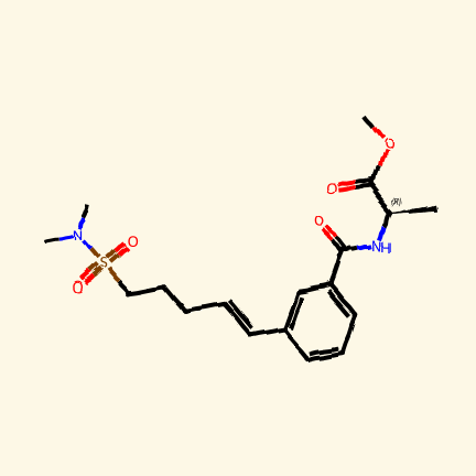 COC(=O)[C@@H](C)NC(=O)c1cccc(C=CCCCS(=O)(=O)N(C)C)c1